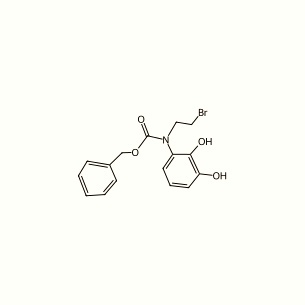 O=C(OCc1ccccc1)N(CCBr)c1cccc(O)c1O